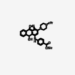 CCCN1CCN(c2cc(Nc3ccc(C(=O)OC)cc3)c3c4c(onc24)-c2ccccc2C3O)CC1